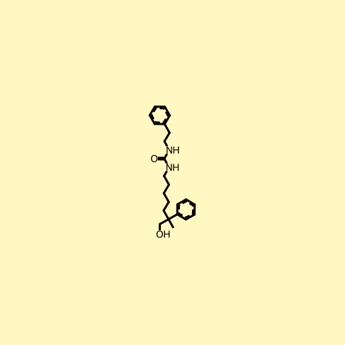 CC(CO)(CCCCCNC(=O)NCCc1ccccc1)c1ccccc1